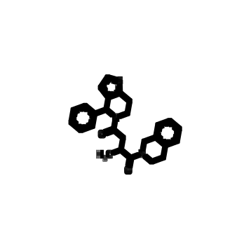 CC(CC(=O)N1CCc2sccc2C1c1ccccc1)C(=O)N1CCc2ccccc2C1